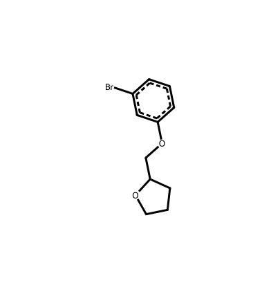 Brc1cccc(OCC2CCCO2)c1